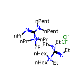 CCCCCC[N+](CC)(CCCCCC)C(=NCC)N(CC)CC.CCCCCN(CCCCC)C(=NCCC)[N+](CCC)(CCC)CCC.[Cl-].[Cl-]